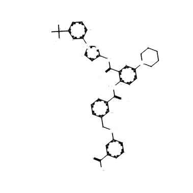 O=C(O)c1cccc(SCc2cccc(C(=O)Nc3ccc(N4CCCCC4)cc3C(=O)Nc3ccn(-c4cccc(C(F)(F)F)c4)n3)c2)c1